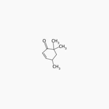 CC1C=CC(=O)C(C)(C)C1